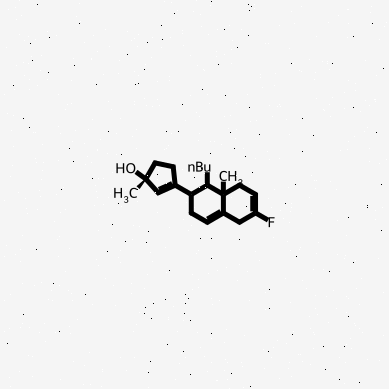 CCCCC1C(C2=C[C@](C)(O)CC2)CC=C2CC(F)=CCC21C